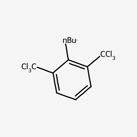 CCC[CH]c1c(C(Cl)(Cl)Cl)cccc1C(Cl)(Cl)Cl